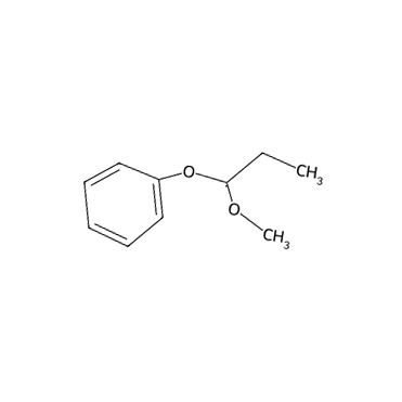 CC[C](OC)Oc1ccccc1